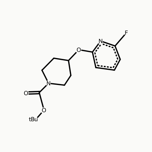 CC(C)(C)OC(=O)N1CCC(Oc2cccc(F)n2)CC1